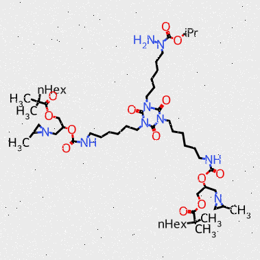 CCCCCCC(C)(C)C(=O)OCC(CN1CC1C)OC(=O)NCCCCCCn1c(=O)n(CCCCCCNC(=O)OC(COC(=O)C(C)(C)CCCCCC)CN2CC2C)c(=O)n(CCCCCCN(N)C(=O)OC(C)C)c1=O